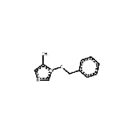 [CH2]c1cncn1OCc1ccccc1